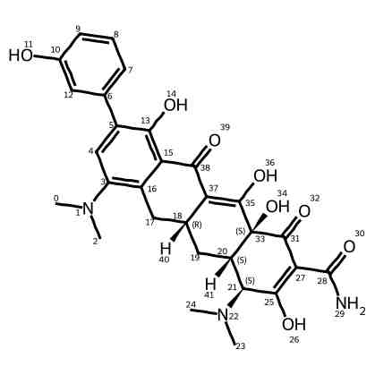 CN(C)c1cc(-c2cccc(O)c2)c(O)c2c1C[C@H]1C[C@H]3[C@H](N(C)C)C(O)=C(C(N)=O)C(=O)[C@@]3(O)C(O)=C1C2=O